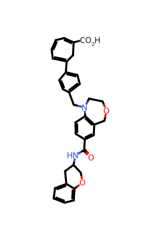 O=C(O)C1=CC=CC=C(c2ccc(CN3CCOCc4cc(C(=O)NC5COc6ccccc6C5)ccc43)cc2)C1